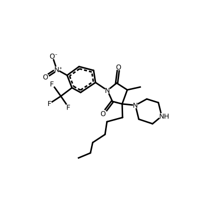 CCCCCCC1(N2CCNCC2)C(=O)N(c2ccc([N+](=O)[O-])c(C(F)(F)F)c2)C(=O)C1C